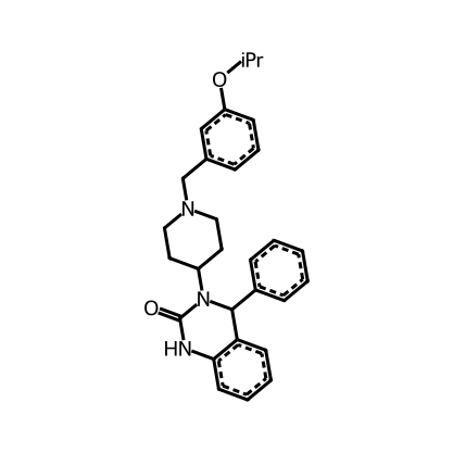 CC(C)Oc1cccc(CN2CCC(N3C(=O)Nc4ccccc4C3c3ccccc3)CC2)c1